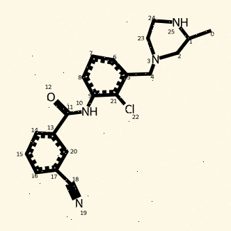 CC1CN(Cc2cccc(NC(=O)c3cccc(C#N)c3)c2Cl)CCN1